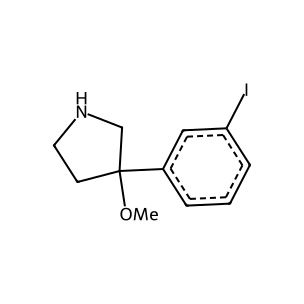 COC1(c2cccc(I)c2)CCNC1